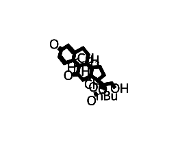 CCCCC(=O)O[C@]1(C(=O)CO)CC[C@H]2[C@@H]3CCC4=CC(=O)C=C[C@]4(C)[C@H]3C(=O)C[C@@]21C